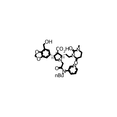 CCCCN(C(=O)CN1C[C@H](c2cc(CO)c3c(c2)OCO3)[C@@H](C(=O)O)[C@@H]1CCN1C(=O)CCN(C)C1=O)c1cccnc1